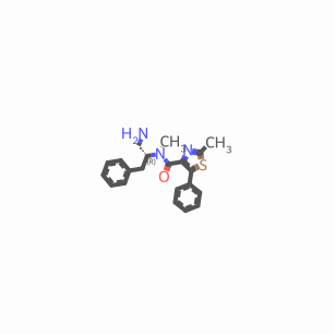 Cc1nc(C(=O)N(C)[C@@H](CN)Cc2ccccc2)c(-c2ccccc2)s1